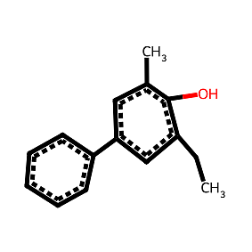 CCc1cc(-c2ccccc2)cc(C)c1O